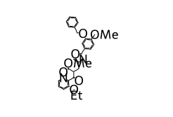 CCOc1cccnc1C(=O)C(Cc1coc(-c2ccc(OC)c(OCc3ccccc3)c2)n1)C(=O)OC